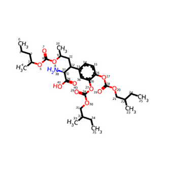 CCCC(C)OC(=O)OC(C)CC(c1ccc(OC(=O)OCC(C)CC)c(OC(=O)OCC(C)CC)c1)[C@H](N)C(=O)O